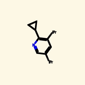 CC(C)c1cnc(C2CC2)c(C(C)C)c1